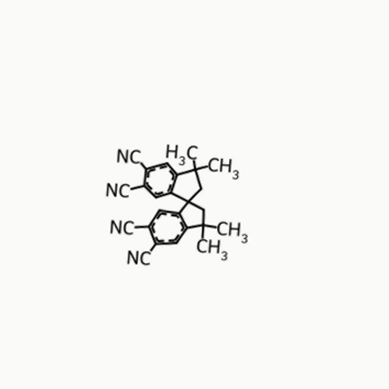 CC1(C)CC2(CC(C)(C)c3cc(C#N)c(C#N)cc32)c2cc(C#N)c(C#N)cc21